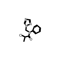 CC(Cl)C(=O)N(Cn1cncn1)c1ccccc1